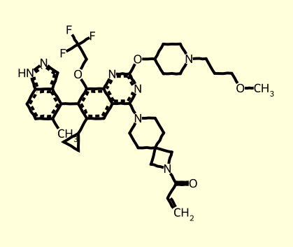 C=CC(=O)N1CC2(CCN(c3nc(OC4CCN(CCCOC)CC4)nc4c(OCC(F)(F)F)c(-c5c(C)ccc6[nH]ncc56)c(C5CC5)cc34)CC2)C1